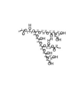 C=CC(=O)OCC(O)COC(COCCCOCC(O)CN(CCO)CCO)COCC(O)COCC(COCC(O)CN(CCO)CCO)OCC(O)COC(=O)C=C